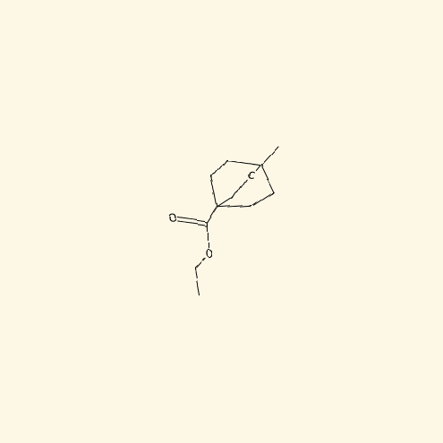 CCOC(=O)C12CCC(C)(CC1)CC2